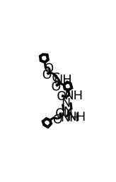 N=C(NC(=O)OCc1ccccc1)N1CCN(C(=O)Nc2cccc(C(=O)NCCC(=O)OCc3ccccc3)c2)CC1